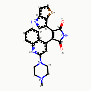 CN1CCN(c2cc(C3=C(c4c[nH]c5ccsc45)C(=O)NC3=O)c3ccccc3n2)CC1